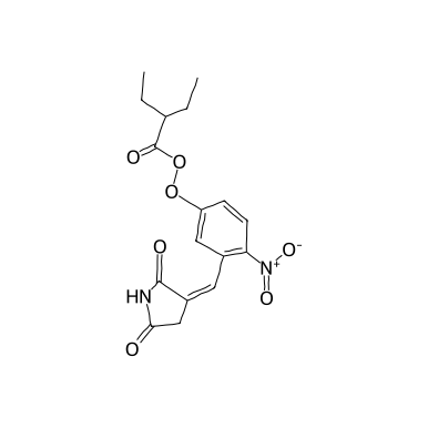 CCC(CC)C(=O)OOc1ccc([N+](=O)[O-])c(C=C2CC(=O)NC2=O)c1